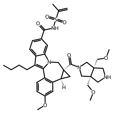 C=C(C)S(=O)(=O)NC(=O)c1ccc2c(CCCC)c3n(c2c1)C[C@@]1(C(=O)N2C[C@@]4(COC)CNC[C@@]4(COC)C2)C[C@H]1c1cc(OC)ccc1-3